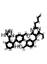 CCCCc1nc(CC)c(Cc2ccc(CO)cc2)c(OCc2ccc(-c3ccccc3-c3nnn[nH]3)cc2)n1